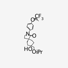 CC(C)OC[C@]1(O)CC[C@]2(CCN(c3ccc(O[C@H](C)C(F)(F)F)cc3)C2=O)CC1